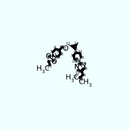 CCCS(=O)(=O)N1CCC(COC[C@@H]2C[C@@H]2C2CCN(c3ncc(CC(C)C)cn3)CC2)CC1